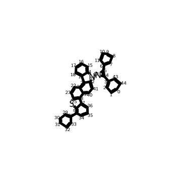 c1ccc(C2=C(c3ccccc3)N2n2c3ccccc3c3c4ccc5sc6c(-c7ccccc7)cccc6c5c4ccc32)cc1